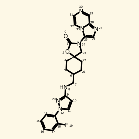 O=C1O[C@]2(CC[C@H](CNc3ccn(-c4ccccc4F)n3)CC2)CN1c1cnc2cnccn12